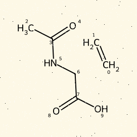 C=C.CC(=O)NCC(=O)O